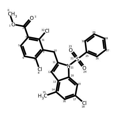 COC(=O)c1ccc(Cl)c(Cc2cc3c(C)cc(Cl)cc3n2S(=O)(=O)c2ccccc2)c1Cl